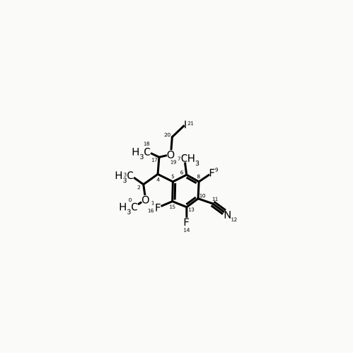 COC(C)C(c1c(C)c(F)c(C#N)c(F)c1F)C(C)OCI